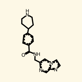 O=C(NCc1cn2ccnc2cn1)c1ccc(C2CCNCC2)cc1